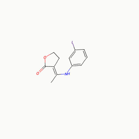 CC(Nc1cccc(I)c1)=C1CCOC1=O